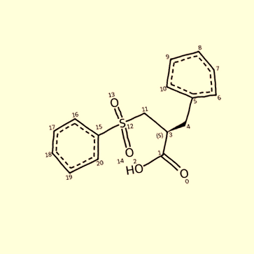 O=C(O)[C@H](Cc1ccccc1)CS(=O)(=O)c1ccccc1